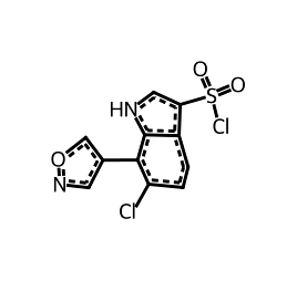 O=S(=O)(Cl)c1c[nH]c2c(-c3cnoc3)c(Cl)ccc12